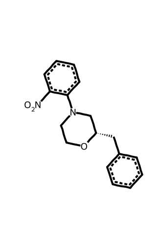 O=[N+]([O-])c1ccccc1N1CCO[C@@H](Cc2ccccc2)C1